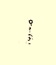 CN(Cc1csc(NC(=O)NCc2cccc(F)c2)n1)C(=O)C1CN(C(=O)O)CCO1